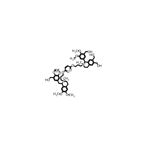 COc1cc2c(cc1OC)C(Cc1cc(CO)c(OC)c(OC)c1)[N+](C)(CCCOC(=O)/C=C\C(=O)OCCC[N+]1(C)CCc3cc(CO)c(CO)cc3C1c1cc(CO)c(OC)c(OC)c1)CC2